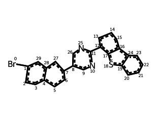 Brc1ccc2ccc(-c3cnc(-c4cccc5c4sc4ccccc45)nc3)cc2c1